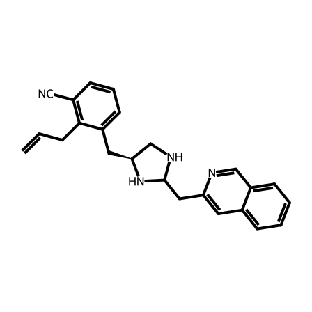 C=CCc1c(C#N)cccc1C[C@H]1CNC(Cc2cc3ccccc3cn2)N1